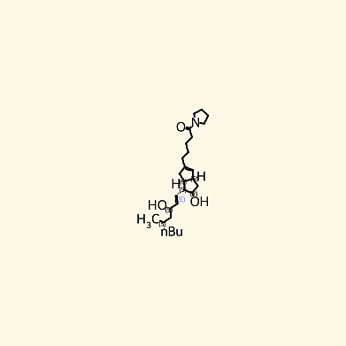 CCCC[C@H](C)C[C@H](O)/C=C/[C@@H]1[C@H]2CC(CCCCC(=O)N3CCCC3)=C[C@H]2C[C@H]1O